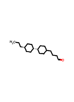 CCC[C@H]1CC[C@H](C2CCC(CCCC=O)CC2)CC1